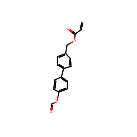 C=CC(=O)OCc1ccc(-c2ccc(OC=O)cc2)cc1